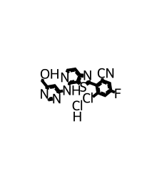 Cl.N#Cc1cc(F)cc(Cl)c1-c1nc2ccnc(Nc3cc(CO)ncn3)c2s1